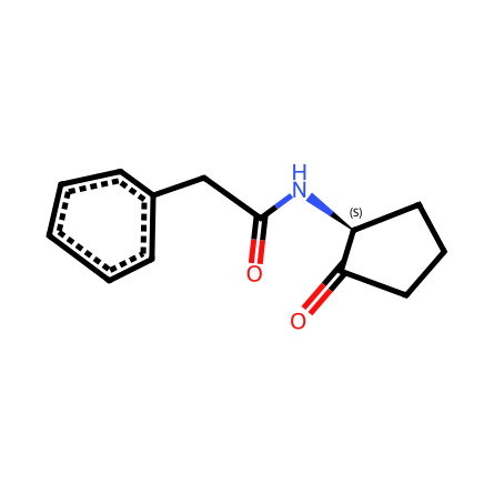 O=C(Cc1ccccc1)N[C@H]1CCCC1=O